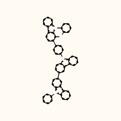 c1ccc(-n2c3ccccc3c3cc(-c4ccc5c(c4)c4ccccc4n5-c4ccc(-c5ccc6c7ccccc7n7c6c5Oc5ccccc5-7)cc4)ccc32)cc1